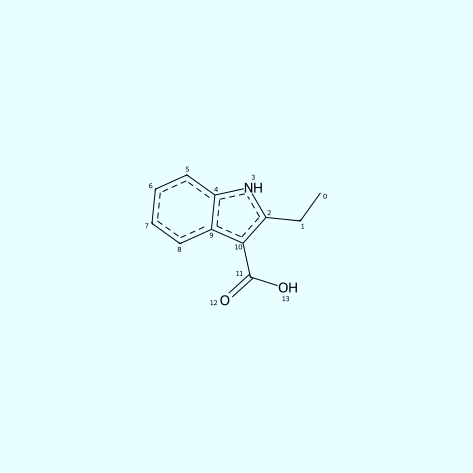 CCc1[nH]c2ccccc2c1C(=O)O